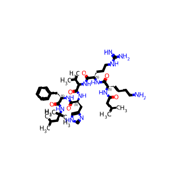 CC(C)CC(=O)N[C@@H](CCCCN)C(=O)N[C@@H](CCCNC(=N)N)C(=O)NC(C(=O)N[C@@H](Cc1c[nH]cn1)C(=O)N[C@@H](Cc1ccccc1)C(=O)NC(C)(C)CC(C)C)C(C)C